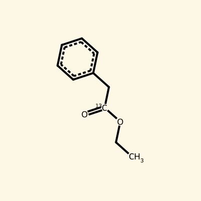 CCO[13C](=O)Cc1ccccc1